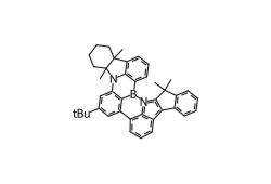 CC(C)(C)c1cc2c3c(c1)N1c4c(cccc4C4(C)CCCCC14C)B3n1c3c(c4cccc-2c41)-c1ccccc1C3(C)C